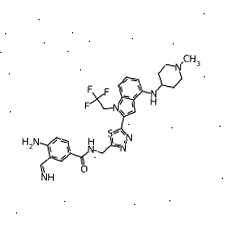 CN1CCC(Nc2cccc3c2cc(-c2nnc(CNC(=O)c4ccc(N)c(C=N)c4)s2)n3CC(F)(F)F)CC1